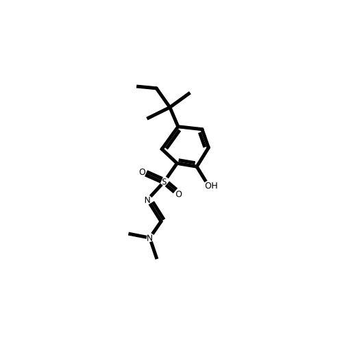 CCC(C)(C)c1ccc(O)c(S(=O)(=O)N=CN(C)C)c1